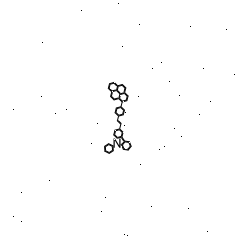 C(=C\c1ccc2c(c1)c1ccccc1n2-c1ccccc1)/c1ccc(-c2ccc3ccc4cccc5ccc2c3c45)cc1